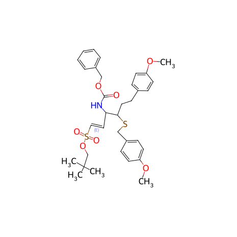 COc1ccc(CCC(SCc2ccc(OC)cc2)C(/C=C/S(=O)(=O)OCC(C)(C)C)NC(=O)OCc2ccccc2)cc1